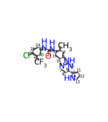 Cc1cc(Nc2nccc(-c3ccc[nH]3)n2)ccc1NC(=O)Nc1ccc(Cl)c(C(F)(F)F)c1